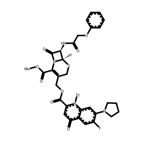 CCn1c(C(=O)OCC2=C(C(=O)OC(C)(C)C)N3C(=O)[C@@H](NC(=O)COc4ccccc4)[C@H]3SC2)cc(=O)c2cc(F)c(N3CCCC3)cc21